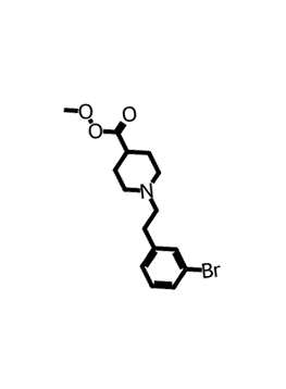 COOC(=O)C1CCN(CCc2cccc(Br)c2)CC1